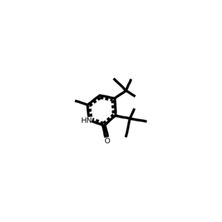 Cc1cc(C(C)(C)C)c(C(C)(C)C)c(=O)[nH]1